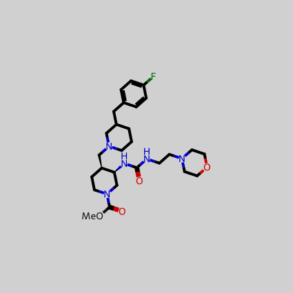 COC(=O)N1CC[C@@H](CN2CCCC(Cc3ccc(F)cc3)C2)[C@@H](NC(=O)NCCN2CCOCC2)C1